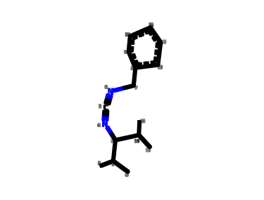 CC(C)C(N=C=NCc1ccccc1)C(C)C